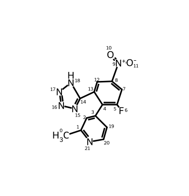 Cc1cc(-c2c(F)cc([N+](=O)[O-])cc2-c2nnn[nH]2)ccn1